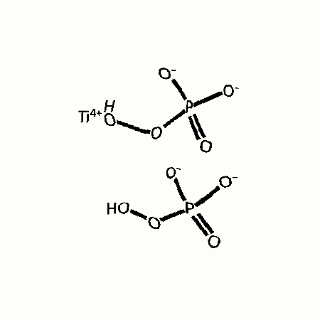 O=P([O-])([O-])OO.O=P([O-])([O-])OO.[Ti+4]